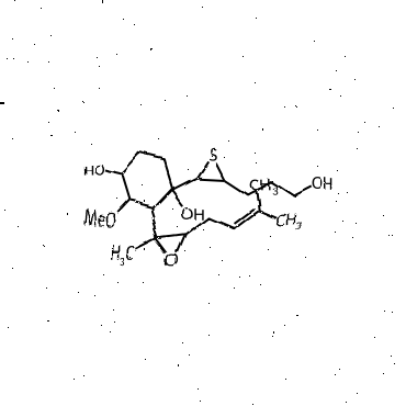 COC1C(O)CCC(O)(C2SC2CCCO)C1C1(C)OC1CC=C(C)C